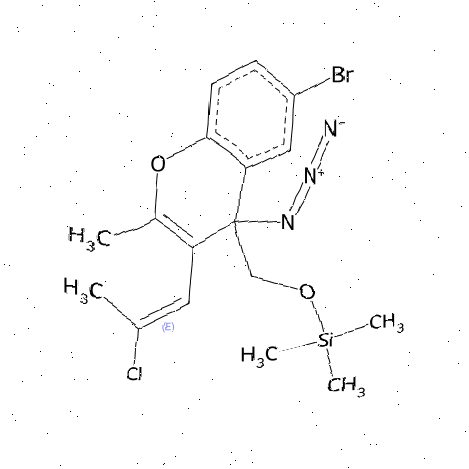 CC1=C(/C=C(\C)Cl)C(CO[Si](C)(C)C)(N=[N+]=[N-])c2cc(Br)ccc2O1